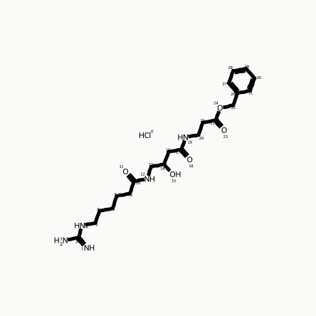 Cl.N=C(N)NCCCCCC(=O)NCC(O)CC(=O)NCCC(=O)OCc1ccccc1